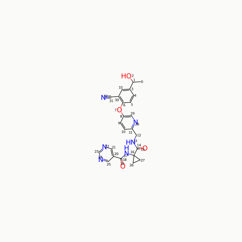 CC(O)c1ccc(Oc2ccc(CNC(=O)C3(NC(=O)c4cncnc4)CC3)nc2)c(C#N)c1